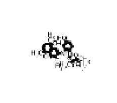 Cc1cc2c(cc1Nc1cc(O)ccc1B1OC(C)(C)C(C)(C)O1)C(C)(C)CCC2(C)C